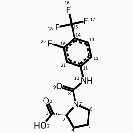 O=C(O)[C@H]1CCCN1C(=O)Nc1ccc(C(F)(F)F)c(F)c1